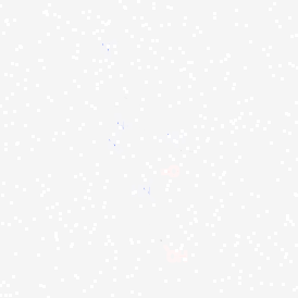 CC(C)Nc1c(C(=O)NCC(F)C(C)(C)O)cnn2cc(-c3cccnc3)cc12